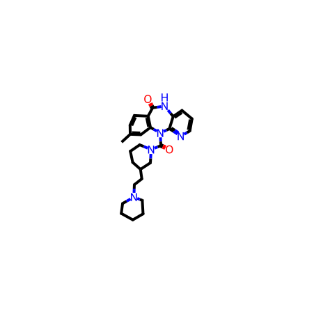 Cc1ccc2c(c1)N(C(=O)N1CCCC(CCN3CCCCC3)C1)c1ncccc1NC2=O